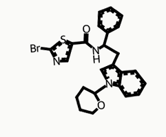 O=C(NC(Cc1cn(C2CCCCO2)c2ccccc12)c1ccccc1)c1cnc(Br)s1